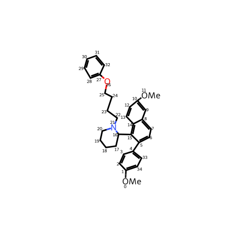 COc1ccc(-c2ccc3cc(OC)ccc3c2C2CCCCN2CCCCOc2ccccc2)cc1